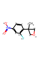 CC1(c2ccc([N+](=O)[O-])cc2F)COC1